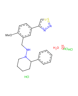 COc1ccc(-c2csnn2)cc1CNN1CCCCC1c1ccccc1.Cl.Cl.Cl.O.O